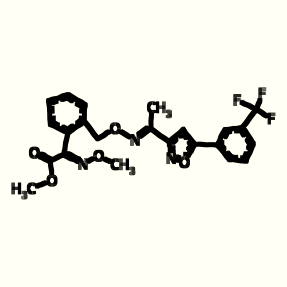 CO/N=C(/C(=O)OC)c1ccccc1CO/N=C(\C)c1cc(-c2cccc(C(F)(F)F)c2)on1